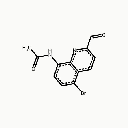 CC(=O)Nc1ccc(Br)c2ccc(C=O)nc12